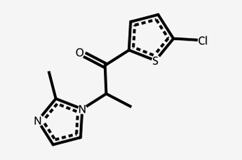 Cc1nccn1C(C)C(=O)c1ccc(Cl)s1